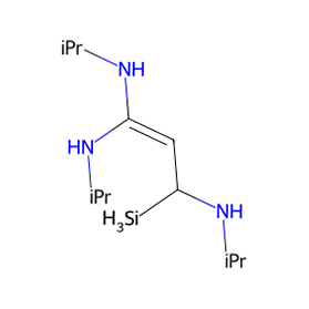 CC(C)NC(=CC([SiH3])NC(C)C)NC(C)C